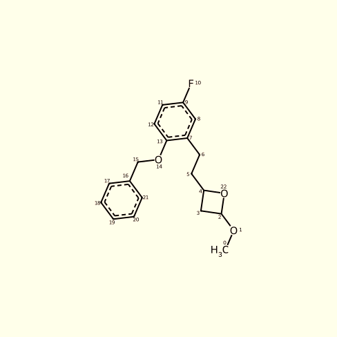 COC1CC(CCc2cc(F)ccc2OCc2ccccc2)O1